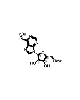 CCCCNc1ncnc2c1ncn2[C@@H]1O[C@H](COC)[C@@H](O)[C@H]1O